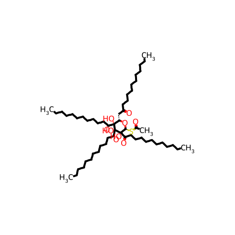 CCCCCCCCCCCC(=O)C[C@@H]1O[C@@H](SC(C)=O)[C@](O)(C(=O)CCCCCCCCCCC)[C@@](O)(C(=O)CCCCCCCCCCC)[C@@]1(O)C(=O)CCCCCCCCCCC